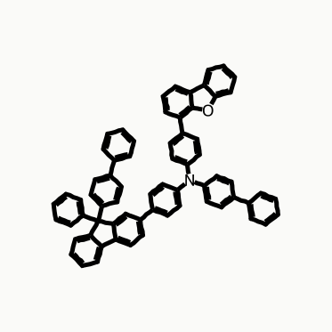 c1ccc(-c2ccc(N(c3ccc(-c4ccc5c(c4)C(c4ccccc4)(c4ccc(-c6ccccc6)cc4)c4ccccc4-5)cc3)c3ccc(-c4cccc5c4oc4ccccc45)cc3)cc2)cc1